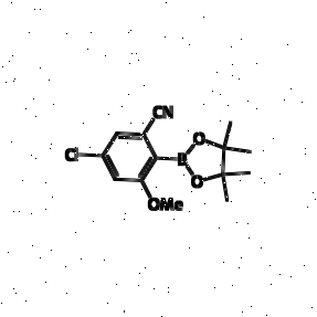 COc1cc(Cl)cc(C#N)c1B1OC(C)(C)C(C)(C)O1